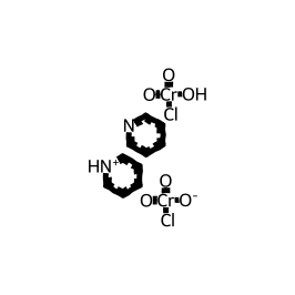 [O]=[Cr](=[O])([O-])[Cl].[O]=[Cr](=[O])([OH])[Cl].c1cc[nH+]cc1.c1ccncc1